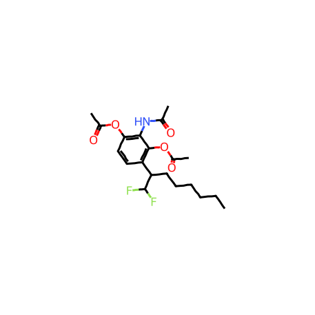 CCCCCCC(c1ccc(OC(C)=O)c(NC(C)=O)c1OC(C)=O)C(F)F